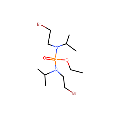 CCOP(=O)(N(CCBr)C(C)C)N(CCBr)C(C)C